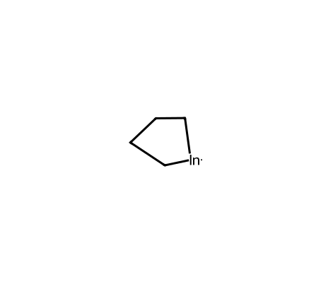 C1C[CH2][In][CH2]1